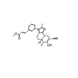 COC(=O)/C=C/c1cccc(-n2c(C)nc3c2CC[C@H]2[C@H](C)C(O)=C(C#N)C[C@]32C)c1